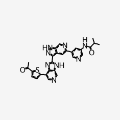 CC(=O)c1ccc(-c2cncc3[nH]c(-c4n[nH]c5cnc(-c6cncc(NC(=O)C(C)C)c6)cc45)nc23)s1